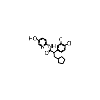 O=C(Nc1ccc(O)cn1)C(CC1CCCC1)c1ccc(Cl)c(Cl)c1